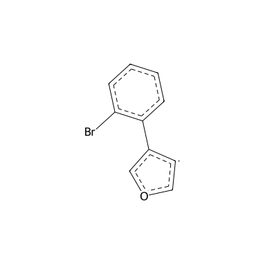 Brc1ccccc1-c1[c]coc1